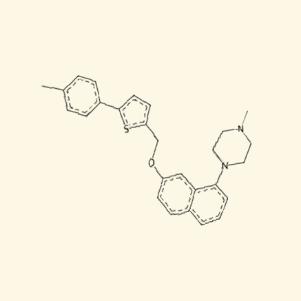 Cc1ccc(-c2ccc(COc3ccc4cccc(N5CCN(C)CC5)c4c3)s2)cc1